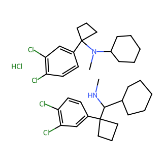 CN(C1CCCCC1)C1(c2ccc(Cl)c(Cl)c2)CCC1.CNC(C1CCCCC1)C1(c2ccc(Cl)c(Cl)c2)CCC1.Cl